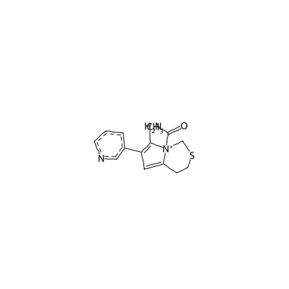 CC1=C(c2cccnc2)C=C2CCSC[N+]21C(N)=O